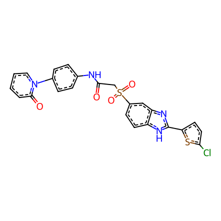 O=C(CS(=O)(=O)c1ccc2[nH]c(-c3ccc(Cl)s3)nc2c1)Nc1ccc(-n2ccccc2=O)cc1